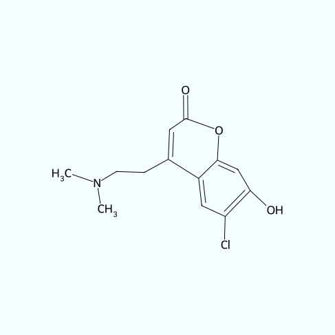 CN(C)CCc1cc(=O)oc2cc(O)c(Cl)cc12